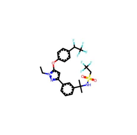 CCn1nc(-c2cccc(C(C)(C)NS(=O)(=O)CC(F)(F)F)c2)cc1Oc1ccc(C(F)C(F)(F)F)cc1